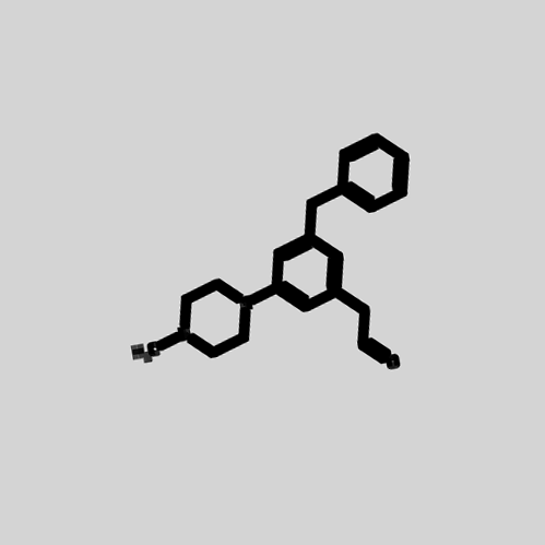 CN1CCN(c2cc(CC=O)cc(Cc3ccccc3)c2)CC1